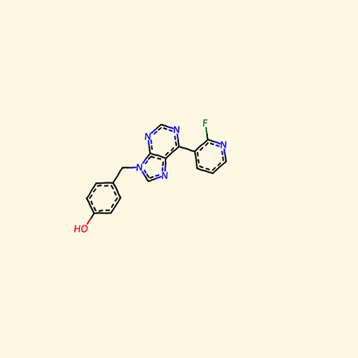 Oc1ccc(Cn2cnc3c(-c4cccnc4F)ncnc32)cc1